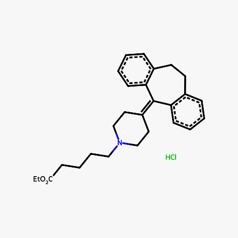 CCOC(=O)CCCCN1CCC(=C2c3ccccc3CCc3ccccc32)CC1.Cl